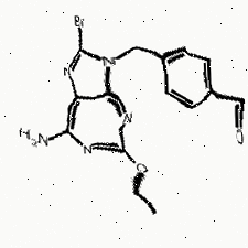 CCOc1nc(N)c2nc(Br)n(Cc3ccc(C=O)cc3)c2n1